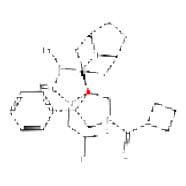 CC(C)N1C(=O)N(CC(F)F)CC12CC1CCC(C2)N1C[C@H]1CN(C(=O)C2CCC2)C[C@@H]1c1ccccc1